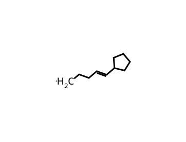 [CH2]CCC=CC1CCCC1